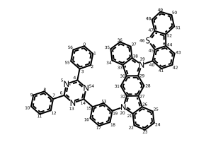 c1ccc(-c2nc(-c3ccccc3)nc(-c3cccc(-n4c5ccccc5c5cc6c(cc54)c4ccccc4n6-c4cccc5c4sc4ccccc45)c3)n2)cc1